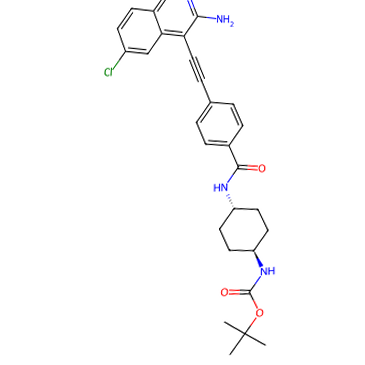 CC(C)(C)OC(=O)N[C@H]1CC[C@H](NC(=O)c2ccc(C#Cc3c(N)ncc4ccc(Cl)cc34)cc2)CC1